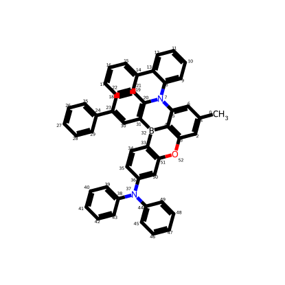 Cc1cc2c3c(c1)N(c1ccccc1-c1ccccc1)c1ccc(-c4ccccc4)cc1B3c1ccc(N(c3ccccc3)c3ccccc3)cc1O2